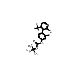 CC(C)(C)OC(=O)Nc1ccc(-c2c(C(F)(F)F)ccnc2Cl)c(F)c1